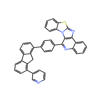 c1cncc(-c2cccc3c2Cc2c(-c4ccc(-c5nc6ccccc6c6nc7sc8ccccc8n7c56)cc4)cccc2-3)c1